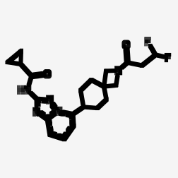 O=C(Nc1nc2cccc(C3CCC4(CC3)CN(C(=O)CC(F)F)C4)n2n1)C1CC1